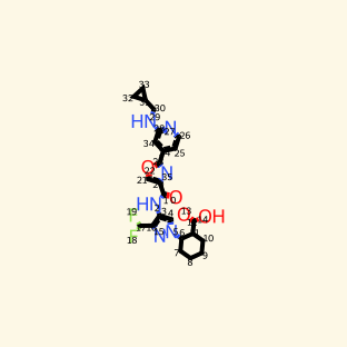 O=C(Nc1cn(C2CCCCC2C(=O)O)nc1C(F)F)c1coc(-c2ccnc(NCC3CC3)c2)n1